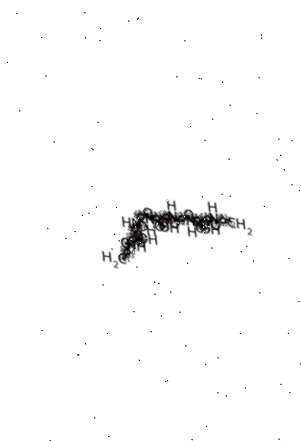 C=Cc1ccc(C(=O)Nc2ccc(-c3ccc(NC(=O)c4ccc(C(=O)Nc5ccc(-c6ccc(NC(=O)c7cccc(C(=O)Nc8ccc(-c9ccc(NC(=O)c%10ccc(C=C)cc%10)cc9S(=O)(=O)O)cc8)c7)cc6S(=O)(=O)O)cc5)cc4)cc3S(=O)(=O)O)cc2)cc1